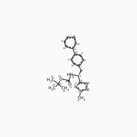 Cn1nnc([C@H](Cc2ccc(-c3ccccc3)cc2)NC(=O)OC(C)(C)C)n1